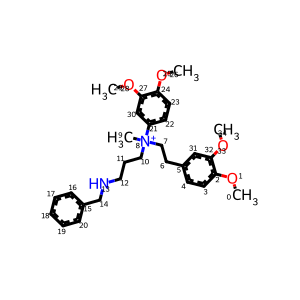 COc1ccc(CC[N+](C)(CCCNCc2ccccc2)c2ccc(OC)c(OC)c2)cc1OC